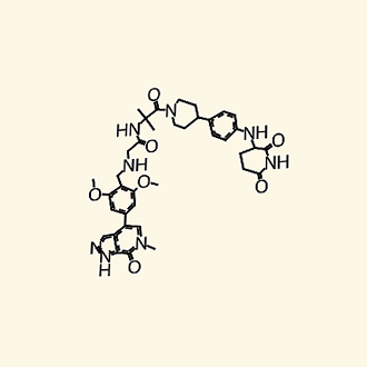 COc1cc(-c2cn(C)c(=O)c3[nH]ncc23)cc(OC)c1CNCC(=O)NC(C)(C)C(=O)N1CCC(c2ccc(NC3CCC(=O)NC3=O)cc2)CC1